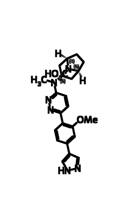 COc1cc(-c2cn[nH]c2)ccc1-c1ccc(N(C)[C@@H]2C[C@H]3CC[C@@H](C2)N3C(=O)O)nn1